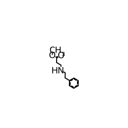 COC(=O)CCNCCc1ccccc1